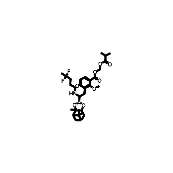 COc1c(CC(NC(=O)CCC(C)(F)F)B2OC3CC4CC(C4(C)C)C3(C)O2)cccc1C(=O)OCOC(=O)C(C)C